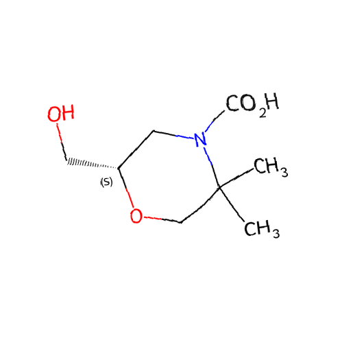 CC1(C)CO[C@H](CO)CN1C(=O)O